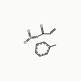 C=CC(=O)N=S(=O)=O.Cc1ccccc1